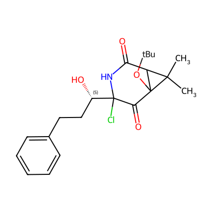 CC(C)(C)OC12C(=O)C(Cl)([C@@H](O)CCc3ccccc3)NC(=O)C1C2(C)C